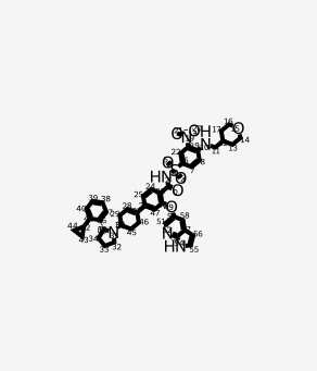 O=C(NS(=O)(=O)c1ccc(NCC2CCOCC2)c([N+](=O)[O-])c1)c1ccc(C2=CC[C@H](N3CCC[C@@H]3c3ccccc3C3CC3)CC2)cc1Oc1cnc2[nH]ccc2c1